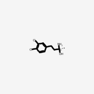 C[C@](N)(O)CCc1ccc(Cl)c(Cl)c1